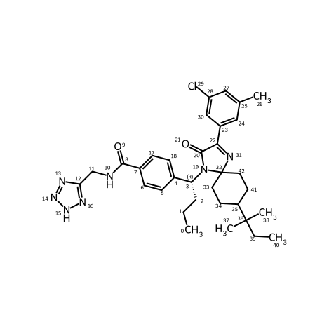 CCC[C@H](c1ccc(C(=O)NCc2nn[nH]n2)cc1)N1C(=O)C(c2cc(C)cc(Cl)c2)=NC12CCC(C(C)(C)CC)CC2